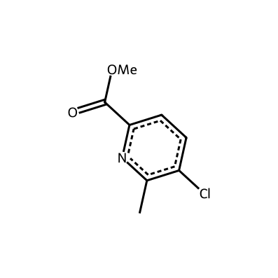 COC(=O)c1ccc(Cl)c(C)n1